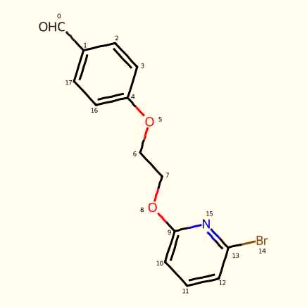 O=Cc1ccc(OCCOc2cccc(Br)n2)cc1